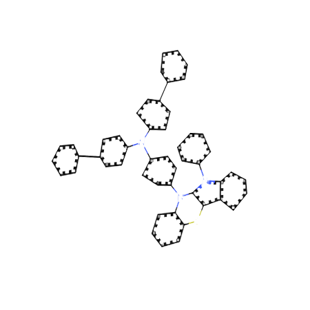 c1ccc(-c2ccc(N(c3ccc(-c4ccccc4)cc3)c3ccc(N4c5ccccc5Sc5c4n(-c4ccccc4)c4ccccc54)cc3)cc2)cc1